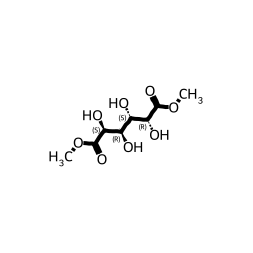 COC(=O)[C@@H](O)[C@H](O)[C@H](O)[C@@H](O)C(=O)OC